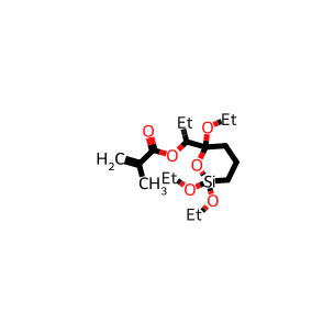 C=C(C)C(=O)OC(CC)C1(OCC)CCC[Si](OCC)(OCC)O1